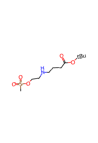 CC(C)(C)OC(=O)CCCNCCOS(C)(=O)=O